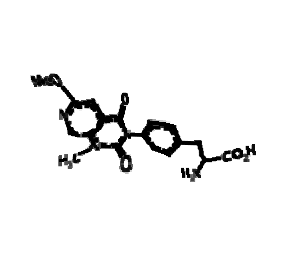 COc1cc2c(=O)n(-c3ccc(CC(N)C(=O)O)cc3)c(=O)n(C)c2cn1